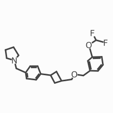 FC(F)Oc1cccc(COCC2CC(c3ccc(CN4CCCC4)cc3)C2)c1